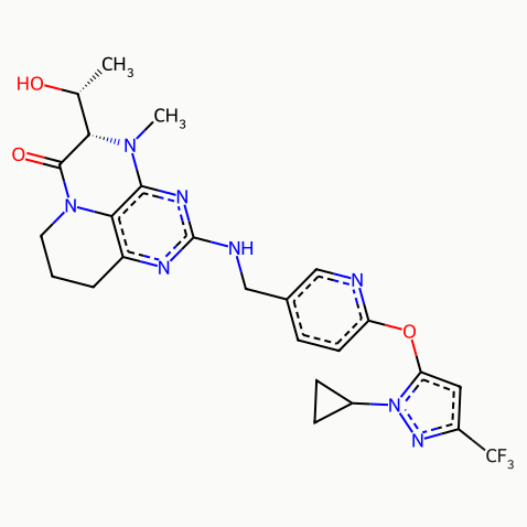 C[C@@H](O)[C@H]1C(=O)N2CCCc3nc(NCc4ccc(Oc5cc(C(F)(F)F)nn5C5CC5)nc4)nc(c32)N1C